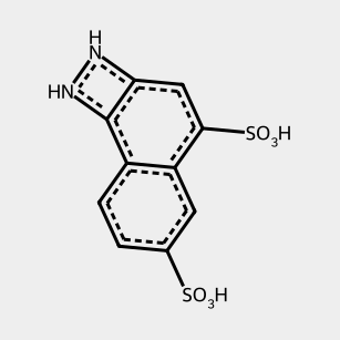 O=S(=O)(O)c1ccc2c(c1)c(S(=O)(=O)O)cc1[nH][nH]c12